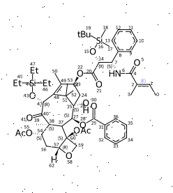 C/C=C(\C)C(=O)N[C@@H](c1ccccc1)[C@@H](O[Si](C)(C)C(C)(C)C)C(=O)O[C@H]1C[C@@]2(O)[C@@H](OC(=O)c3ccccc3)C3[C@](C)(C(=O)[C@H](O[Si](CC)(CC)CC)C(=C1C)C2(C)C)[C@@H](OC(C)=O)C[C@H]1OC[C@@]31OC(C)=O